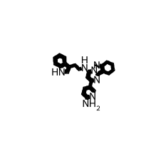 Nc1ccc(-c2cc(NCCc3c[nH]c4ccccc34)n3nc4c(c3n2)CCCC4)cn1